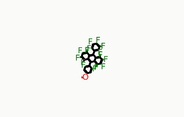 COc1cc(F)c(-c2c3c(F)c(F)c(F)c(F)c3c(-c3c(F)c(F)c(F)c(F)c3F)c3c(F)c(F)c(F)c(F)c23)c(F)c1